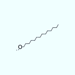 [CH2]OCCCCCCCCCCCCCC